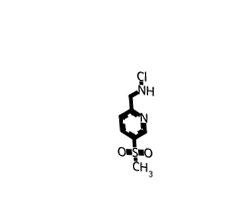 CS(=O)(=O)c1ccc(CNCl)nc1